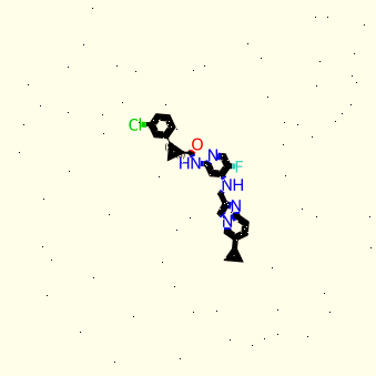 O=C(Nc1cc(NCc2cn3cc(C4CC4)ccc3n2)c(F)cn1)[C@H]1C[C@@H]1c1cccc(Cl)c1